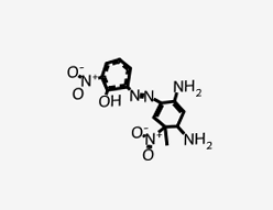 CC1([N+](=O)[O-])C=C(N=Nc2cccc([N+](=O)[O-])c2O)C(N)=CC1N